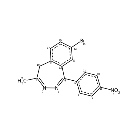 CC1=NN=C(c2ccc([N+](=O)[O-])cc2)c2cc(Br)ccc2C1